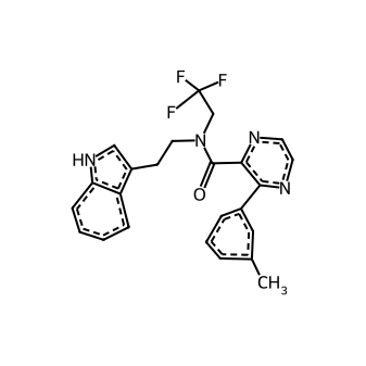 Cc1cccc(-c2nccnc2C(=O)N(CCc2c[nH]c3ccccc23)CC(F)(F)F)c1